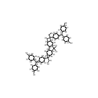 CCC1(c2ccc(N(c3ccc(C)cc3)c3ccc(C)cc3)cc2)Cc2cc3c(cc21)C(C)(C)c1cc2c(cc1-3)C2(CC)c1ccc(N(c2ccc(C)cc2)c2ccc(C)cc2)cc1